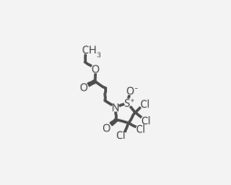 CCOC(=O)CCN1C(=O)C(Cl)(Cl)C(Cl)(Cl)[S+]1[O-]